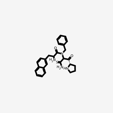 NC(=S)C(C(=O)[C@@H]1CCCN1)N(Cc1ccccc1)C(=O)C(N)Cc1ccc2ccccc2c1